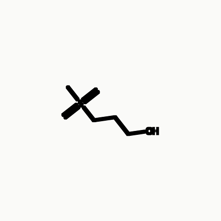 C=S(=C)(C)CCCO